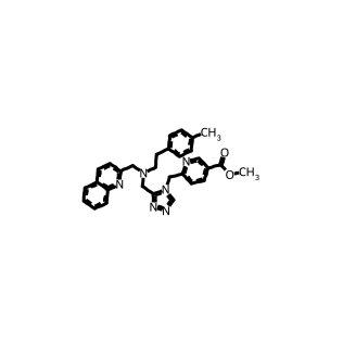 COC(=O)c1ccc(Cn2cnnc2CN(CCc2ccc(C)cc2)Cc2ccc3ccccc3n2)nc1